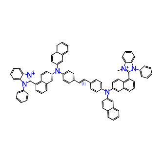 C[n+]1c(-c2cccc3cc(N(c4ccc(/C=C/c5ccc(N(c6ccc7ccccc7c6)c6ccc7c(-c8n(-c9ccccc9)c9ccccc9[n+]8C)cccc7c6)cc5)cc4)c4ccc5ccccc5c4)ccc23)n(-c2ccccc2)c2ccccc21